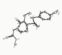 CCNc1c(C(=N)Nc2ccc(C(F)(F)F)cc2)ncn(CC(=O)OC(C)(C)C)c1=O